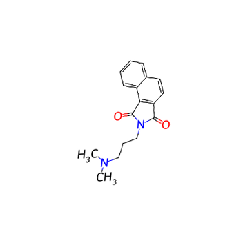 CN(C)CCCN1C(=O)c2ccc3ccccc3c2C1=O